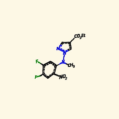 CCOC(=O)c1cnn(N(C)c2cc(F)c(F)cc2[N+](=O)[O-])c1